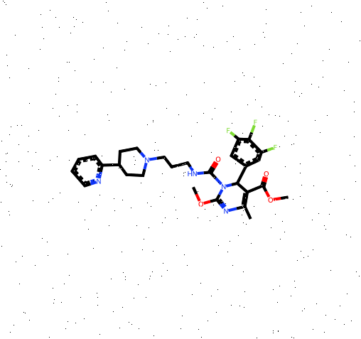 COC(=O)C1=C(C)N=C(OC)N(C(=O)NCCCN2CCC(c3ccccn3)CC2)C1c1cc(F)c(F)c(F)c1